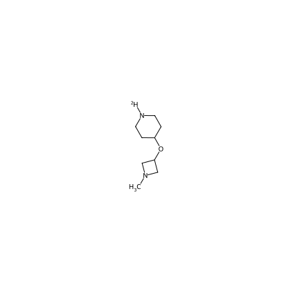 [2H]N1CCC(OC2CN(C)C2)CC1